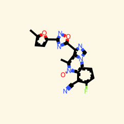 Cc1ccc(-c2noc(-c3ncn4c3c(C)[n+]([O-])c3c(C#N)c(F)ccc34)n2)o1